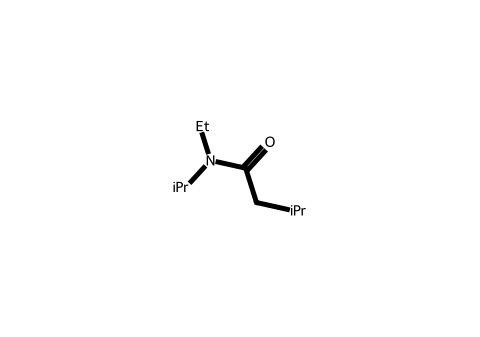 CCN(C(=O)CC(C)C)C(C)C